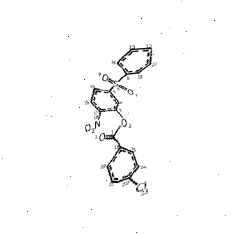 O=C(Oc1cc(S(=O)(=O)c2ccccc2)ccc1[N+](=O)[O-])c1ccc(Cl)cc1